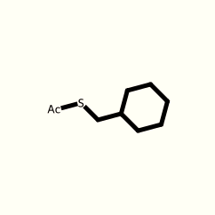 CC(=O)SC[C]1CCCCC1